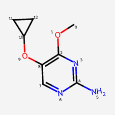 COc1nc(N)ncc1OC1CC1